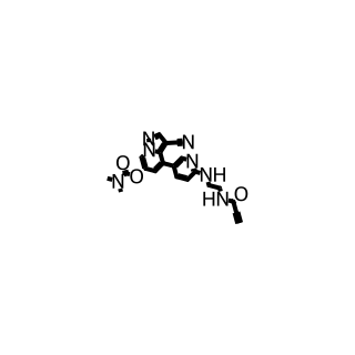 C#CC(=O)NCCNc1ccc(-c2cc(OC(=O)N(C)C)cn3ncc(C#N)c23)cn1